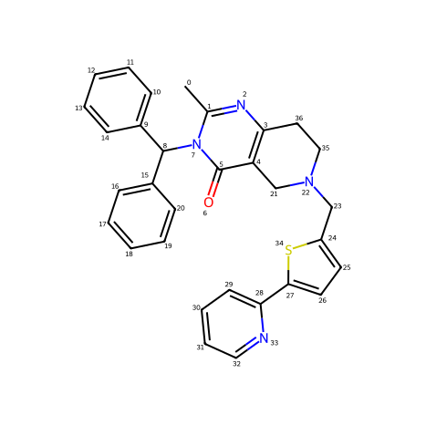 Cc1nc2c(c(=O)n1C(c1ccccc1)c1ccccc1)CN(Cc1ccc(-c3ccccn3)s1)CC2